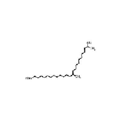 CCCCCCCCCCCCCCCCCCCCCCC(C)CCCCCCCCCC(C)CCCC